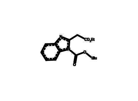 CCOC(=O)Cc1nc2ccccc2n1C(=O)OC(C)(C)C